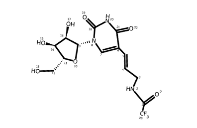 O=C(NC/C=C/c1cn([C@@H]2O[C@H](CO)[C@@H](O)[C@H]2O)c(=O)[nH]c1=O)C(F)(F)F